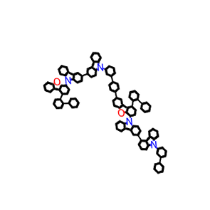 c1ccc(-c2cccc(-n3c4ccccc4c4c(-c5ccc6c(c5)c5ccccc5n6-c5ccc(-c6ccccc6-c6ccccc6)c6c5oc5ccc(-c7ccc(-c8cccc(-n9c%10ccccc%10c%10cc(-c%11ccc%12c(c%11)c%11ccccc%11n%12-c%11ccc(-c%12ccccc%12-c%12ccccc%12)c%12c%11oc%11ccccc%11%12)ccc%109)c8)cc7)cc56)cccc43)c2)cc1